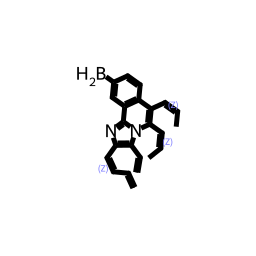 Bc1ccc2c(/C=C\C)c(/C=C\C)n3c(C=C)c(/C=C\C=C)nc3c2c1